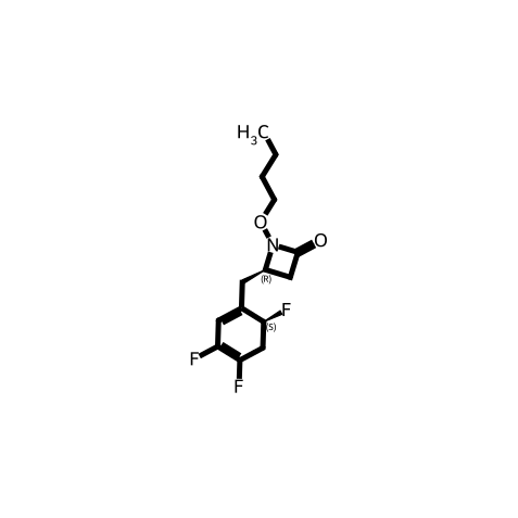 CCCCON1C(=O)C[C@H]1CC1=CC(F)=C(F)C[C@@H]1F